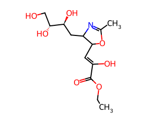 CCOC(=O)/C(O)=C/C1OC(C)=NC1C[C@H](O)[C@H](O)CO